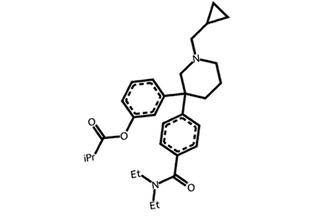 CCN(CC)C(=O)c1ccc(C2(c3cccc(OC(=O)C(C)C)c3)CCCN(CC3CC3)C2)cc1